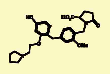 CCOC(=O)C1CCC(=O)N1Cc1ccc(Cc2[c]cc(O)cc2OCCN2CCCC2)cc1OC